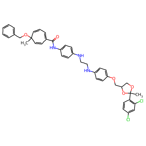 CC1(OCc2ccccc2)C=CC=C(C(=O)Nc2ccc(NCCNc3ccc(OCC4COC(C)(c5ccc(Cl)cc5Cl)O4)cc3)cc2)C=C1